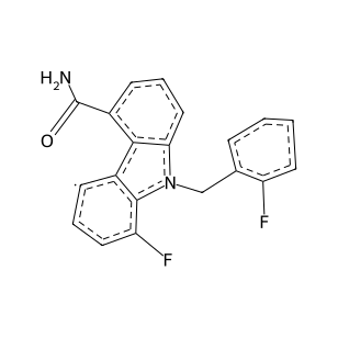 NC(=O)c1cccc2c1c1[c]ccc(F)c1n2Cc1ccccc1F